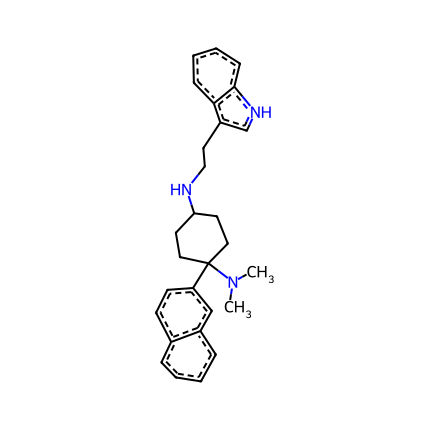 CN(C)C1(c2ccc3ccccc3c2)CCC(NCCc2c[nH]c3ccccc23)CC1